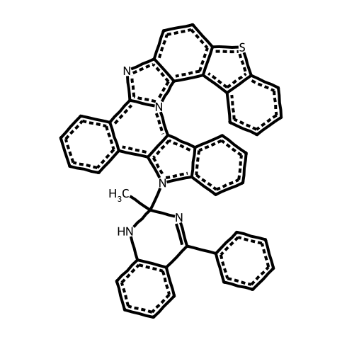 CC1(n2c3ccccc3c3c2c2ccccc2c2nc4ccc5sc6ccccc6c5c4n23)N=C(c2ccccc2)c2ccccc2N1